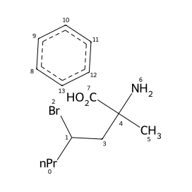 CCCC(Br)CC(C)(N)C(=O)O.c1ccccc1